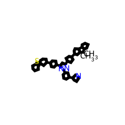 CC1(C)c2ccccc2-c2ccc(-c3ccc(-c4cc(-c5ccc(-c6ccc7sc8ccccc8c7c6)cc5)nc(-c5cccc(-c6cccnc6)c5)n4)cc3)cc21